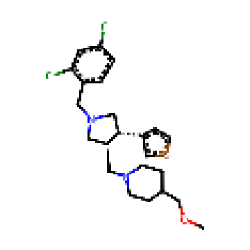 COCC1CCN(C[C@H]2CN(Cc3ccc(Cl)cc3Cl)C[C@@H]2c2ccsc2)CC1